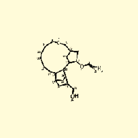 C=COC1CC2CCCCCCCCC3C4CC(CO)C(C4)C3C1C2